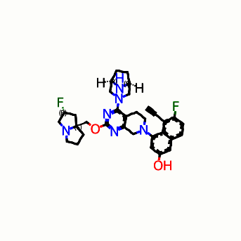 C#Cc1c(F)ccc2cc(O)cc(N3CCc4c(nc(OC[C@@]56CCCN5C[C@H](F)C6)nc4N4C[C@H]5CC[C@@H](C4)N5)C3)c12